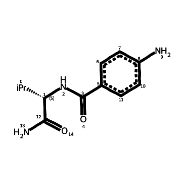 CC(C)[C@H](NC(=O)c1ccc(N)cc1)C(N)=O